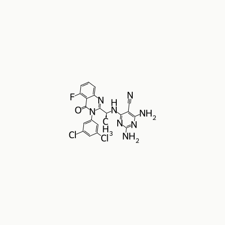 C[C@H](Nc1nc(N)nc(N)c1C#N)c1nc2cccc(F)c2c(=O)n1-c1cc(Cl)cc(Cl)c1